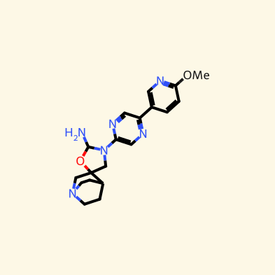 COc1ccc(-c2cnc(N3CC4(CN5CCC4CC5)OC3N)cn2)cn1